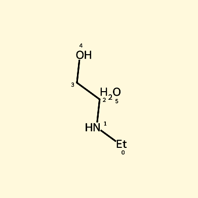 CCNCCO.O